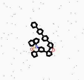 O=P1(c2ccccc2)c2ccccc2-c2cc(-c3cccc4oc5ccc(-c6ccc(-c7ccc(-c8ccccc8)cc7)cc6)cc5c34)ccc2N1c1ccccc1